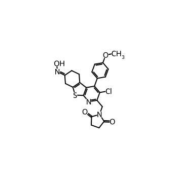 COc1ccc(-c2c(Cl)c(CN3C(=O)CCC3=O)nc3sc4c(c23)CC/C(=N\O)C4)cc1